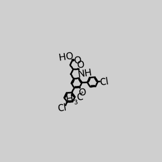 COc1c(-c2ccc(Cl)cc2)cc2c(c1-c1ccc(Cl)cc1)NC(=O)C(CC(=O)O)C2